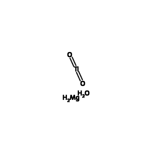 O.[MgH2].[O]=[Ti]=[O]